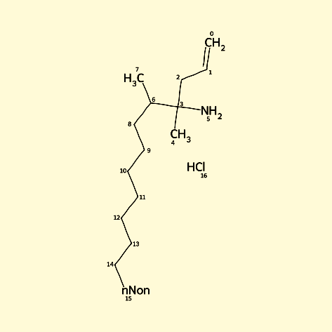 C=CCC(C)(N)C(C)CCCCCCCCCCCCCCCC.Cl